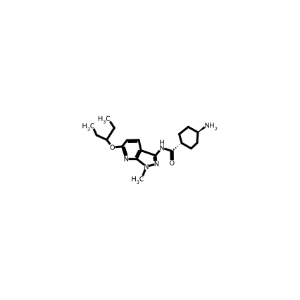 CCC(CC)Oc1ccc2c(NC(=O)[C@H]3CC[C@H](N)CC3)nn(C)c2n1